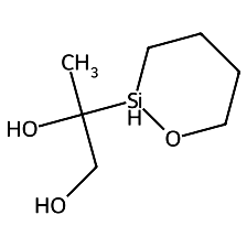 CC(O)(CO)[SiH]1CCCCO1